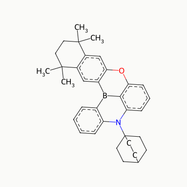 CC1(C)CCC(C)(C)c2cc3c(cc21)Oc1cccc2c1B3c1ccccc1N2C12CCC(CC1)CC2